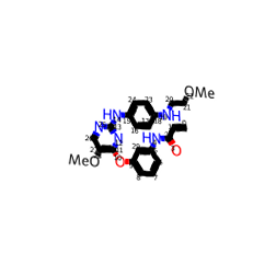 C=CC(=O)Nc1cccc(Oc2nc(Nc3ccc(NCCOC)cc3)ncc2OC)c1